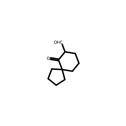 O=CC1CCCC2(CCCC2)C1=O